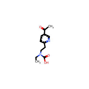 CCN(CCc1ccc(C(C)=O)cn1)C(=O)O